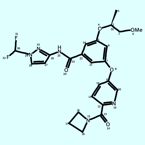 COC[C@H](C)Oc1cc(Oc2ccc(C(=O)N3CCC3)nc2)cc(C(=O)Nc2ccn(C(F)F)n2)c1